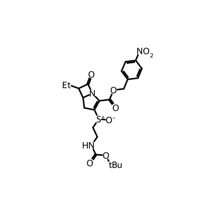 CCC1C(=O)N2C(C(=O)OCc3ccc([N+](=O)[O-])cc3)=C([S+]([O-])CCNC(=O)OC(C)(C)C)CC12